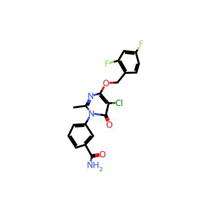 Cc1nc(OCc2ccc(F)cc2F)c(Cl)c(=O)n1-c1cccc(C(N)=O)c1